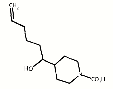 C=CCCCC(O)C1CCN(C(=O)O)CC1